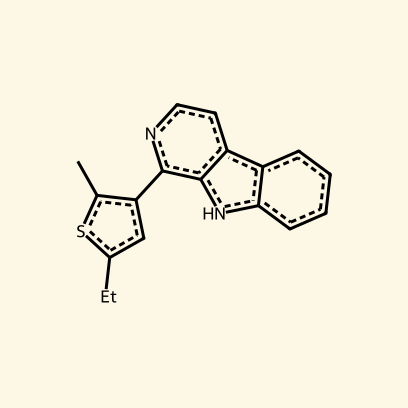 CCc1cc(-c2nccc3c2[nH]c2ccccc23)c(C)s1